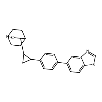 c1nc2cc(-c3ccc([C]4CC4C4CN5CCC4CC5)cc3)ccc2s1